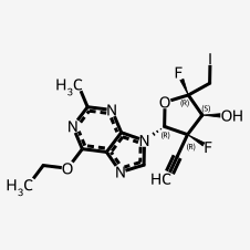 C#C[C@]1(F)[C@H](n2cnc3c(OCC)nc(C)nc32)O[C@](F)(CI)[C@H]1O